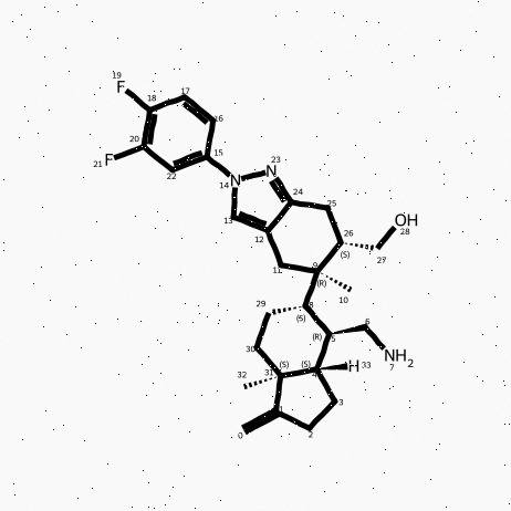 C=C1CC[C@H]2[C@H](CN)[C@@H]([C@@]3(C)Cc4cn(-c5ccc(F)c(F)c5)nc4C[C@@H]3CO)CC[C@]12C